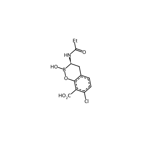 CCC(=O)N[C@H]1Cc2ccc(Cl)c(C(=O)O)c2OB1O